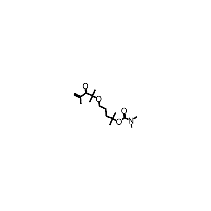 C=C(C)C(=O)C(C)(C)OCCCC(C)(C)OC(=O)N(C)C